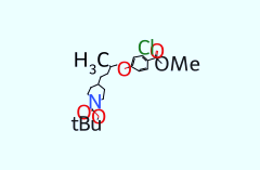 COC(=O)c1ccc(OCC(C)CCC2CCN(C(=O)OC(C)(C)C)CC2)cc1Cl